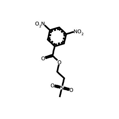 CS(=O)(=O)CCOC(=O)c1cc([N+](=O)[O-])cc([N+](=O)[O-])c1